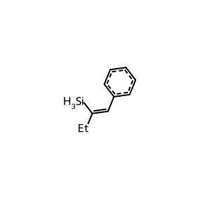 CCC([SiH3])=Cc1ccccc1